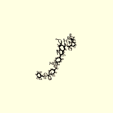 COc1cc2c(cc1NC(=O)c1cccc(C(F)(F)F)n1)=CC(C1CCC(O)(COCC3CCN(C(=O)OCc4ccccc4)CC3)CC1)N=2